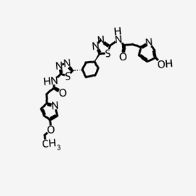 CCOc1ccc(CC(=O)Nc2nnc([C@H]3CCC[C@H](c4nnc(NC(=O)Cc5ccc(O)cn5)s4)C3)s2)nc1